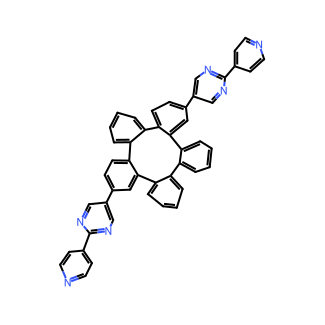 c1ccc2c(c1)c1ccccc1c1cc(-c3cnc(-c4ccncc4)nc3)ccc1c1ccccc1c1ccc(-c3cnc(-c4ccncc4)nc3)cc21